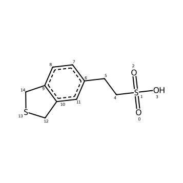 O=S(=O)(O)CCc1ccc2c(c1)CSC2